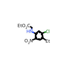 CCOC(=O)CNc1cc(Cl)c(CC)cc1[N+](=O)[O-]